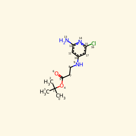 CC(C)(C)OC(=O)CCNc1cc(N)nc(Cl)c1